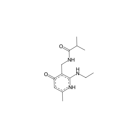 CCNc1[nH]c(C)cc(=O)c1CNC(=O)C(C)C